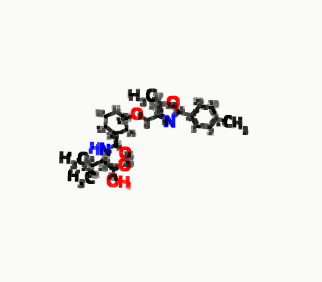 Cc1ccc(-c2nc(CO[C@@H]3CCC[C@H](C(=O)N[C@H](C(=O)O)C(C)C)C3)c(C)o2)cc1